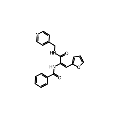 O=C(NCc1ccncc1)/C(=C\c1ccco1)NC(=O)c1ccccc1